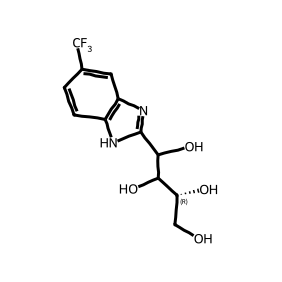 OC[C@@H](O)C(O)C(O)c1nc2cc(C(F)(F)F)ccc2[nH]1